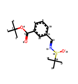 CC(C)(C)OC(=O)c1cccc(/C=N/[S@@+]([O-])C(C)(C)C)c1